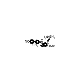 COc1cc2ccn(C(=O)c3ccc(-c4ccc(C#N)cc4C)cc3)c2cc1OCCN(C)C